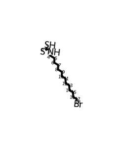 S=C(S)NCCCCCCCCCCCCCCBr